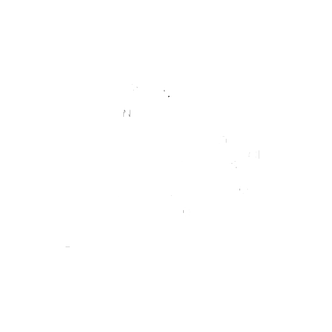 O=C(c1ccc(F)cc1)c1cc2nsnc2cc1CS(=O)(=O)O